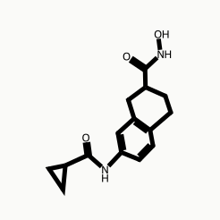 O=C(NO)C1CCc2ccc(NC(=O)C3CC3)cc2C1